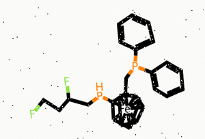 FCCC(F)CP[C]12[CH]3[CH]4[CH]5[C]1(CP(c1ccccc1)c1ccccc1)[Fe]45321678[CH]2[CH]1[CH]6[CH]7[CH]28